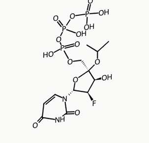 CC(C)O[C@]1(COP(=O)(O)OP(=O)(O)OP(=O)(O)O)O[C@@H](n2ccc(=O)[nH]c2=O)[C@H](F)[C@@H]1O